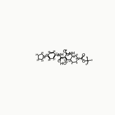 CC(C)(C)OC(=O)N1CCC2C(O)=C(C(=O)Nc3ccc(N4CCCC4)cc3)C(=O)NC2C1